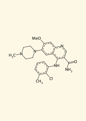 COc1cc2ncc(C(N)=O)c(Nc3cccc(C)c3Cl)c2cc1N1CCN(C)CC1